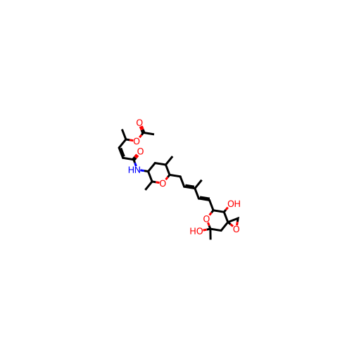 CC(=O)OC(C)/C=C\C(=O)NC1CC(C)C(C/C=C(C)/C=C/C2OC(C)(O)CC3(CO3)C2O)OC1C